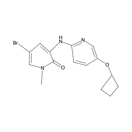 Cn1cc(Br)cc(Nc2ccc(OC3CCC3)cn2)c1=O